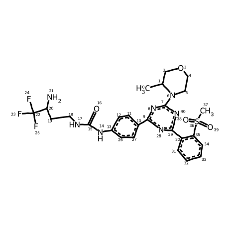 CC1COCCN1c1nc(-c2ccc(NC(=O)NCCC(N)C(F)(F)F)cc2)nc(-c2ccccc2S(C)(=O)=O)n1